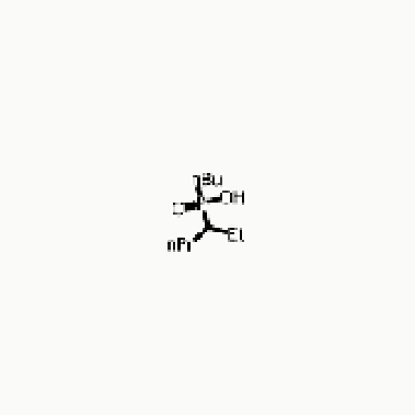 CCCCP(=O)(O)C(CC)CCC